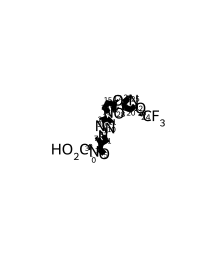 CN(CC(=O)O)C(=O)C1CN(c2ncc(N3CC[C@@H](Oc4ccc(OCC(F)(F)F)nc4)C3=O)cn2)C1